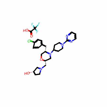 O=C(O)C(F)(F)F.O[C@H]1CCN(C[C@H]2CN(C3CCN(c4ncccn4)CC3)[C@@H](Cc3ccc(Cl)cc3)CO2)C1